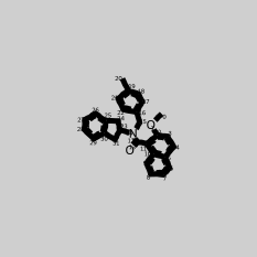 COc1ccc2ccccc2c1C(=O)N(Cc1ccc(C)cc1)C1Cc2ccccc2C1